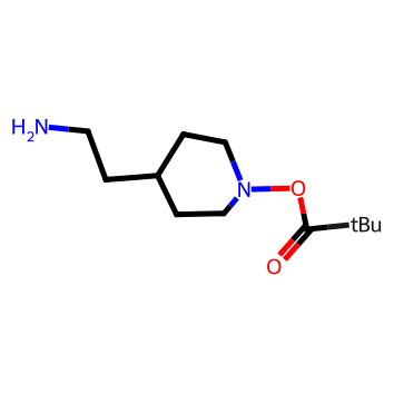 CC(C)(C)C(=O)ON1CCC(CCN)CC1